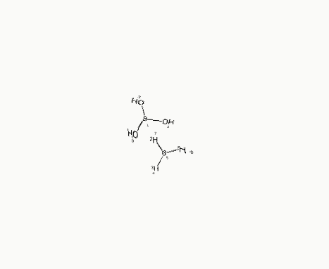 OB(O)O.[2H]B([2H])[2H]